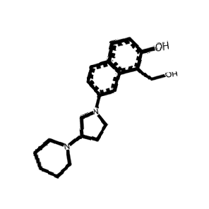 OCc1c(O)ccc2ccc(N3CCC(N4CCCCC4)C3)cc12